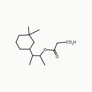 CC(OC(=O)CC(=O)O)C(C)C1CCCC(C)(C)C1